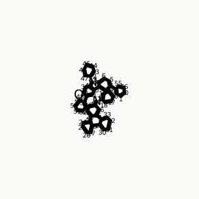 c1ccc(-c2ccc3c(c2)c2c(N(c4ccccc4)c4ccc5c6ccccc6c6ccccc6c5c4)c4c(cc2n3-c2ccccc2)oc2ccccc24)cc1